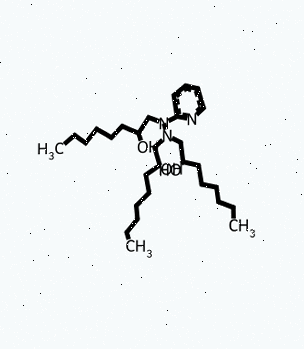 CCCCCCC(O)CN(CC(O)CCCCCC)N(CC(O)CCCCCC)c1ccccn1